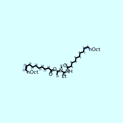 CCCCCCCC/C=C\CCCCCCCC(=O)NC(CC)N(C)C(C)OC(=O)CCCCCCC/C=C\CCCCCCCC